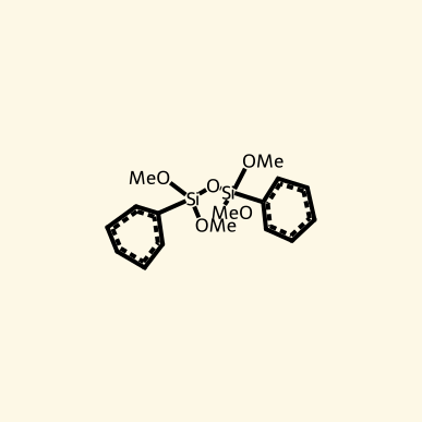 CO[Si](OC)(O[Si](OC)(OC)c1ccccc1)c1ccccc1